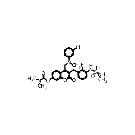 CNS(=O)(=O)Nc1cccc(Cc2c(CN(C)c3cccc(Cl)c3)c3ccc(OC(=O)N(C)C)cc3oc2=O)c1F